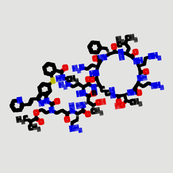 CNC(=O)c1ccccc1Sc1ccc2c(/C=C/c3ccccn3)nn(C(=O)N(CCOC(=O)C(C)C)CCC(=O)N[C@@H](CCN)C(=O)N[C@H](C(=O)N[C@@H](CCN)C(=O)N[C@H]3CCNC(=O)[C@@H]([C@@H](C)O)NC(=O)[C@H](CCN)NC(=O)[C@H](CCN)NC(=O)[C@H](CC(C)C)NC(=O)[C@@H](Cc4ccccc4)NC(=O)[C@H](CCN)NC3=O)[C@@H](C)O)c2c1